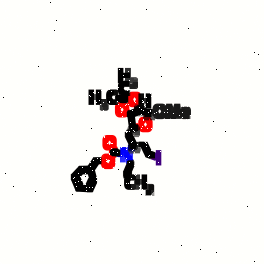 C=CCN(C(=O)OCc1ccccc1)[C@@H](CCI)C[C@H]1O[C@@H](OC)[C@H]2OC(C)(C)OC12